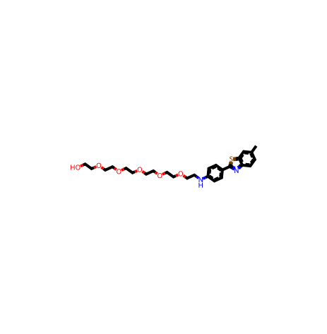 Cc1ccc2nc(-c3ccc(NCCOCCOCCOCCOCCOCCO)cc3)sc2c1